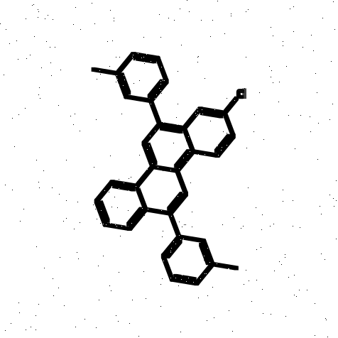 Cc1cccc(-c2cc3c4ccc(Cl)cc4c(-c4cccc(C)c4)cc3c3ccccc23)c1